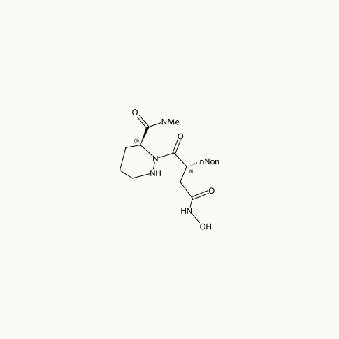 CCCCCCCCC[C@H](CC(=O)NO)C(=O)N1NCCC[C@H]1C(=O)NC